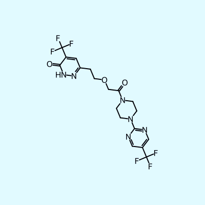 O=C(COCCc1cc(C(F)(F)F)c(=O)[nH]n1)N1CCN(c2ncc(C(F)(F)F)cn2)CC1